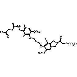 C=C(CCC(=O)CC)NCc1c(C)cc(OC)c(OCCCOc2c(OC)cc3c(c2F)CN(C(=O)CCC(=O)OCC)C3)c1F